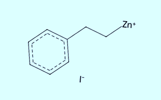 [I-].[Zn+][CH2]Cc1ccccc1